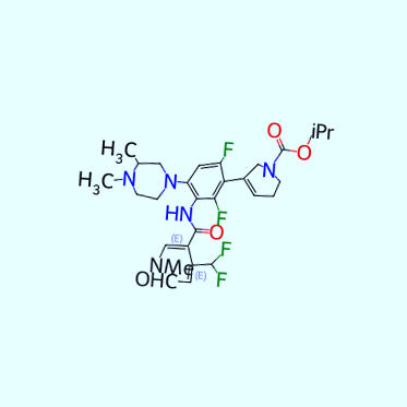 CN/C=C(C(=O)Nc1c(N2CCN(C)C(C)C2)cc(F)c(C2=CCCN(C(=O)OC(C)C)C2)c1F)\C(=C/C=O)C(F)F